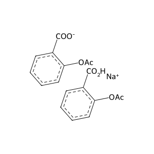 CC(=O)Oc1ccccc1C(=O)O.CC(=O)Oc1ccccc1C(=O)[O-].[Na+]